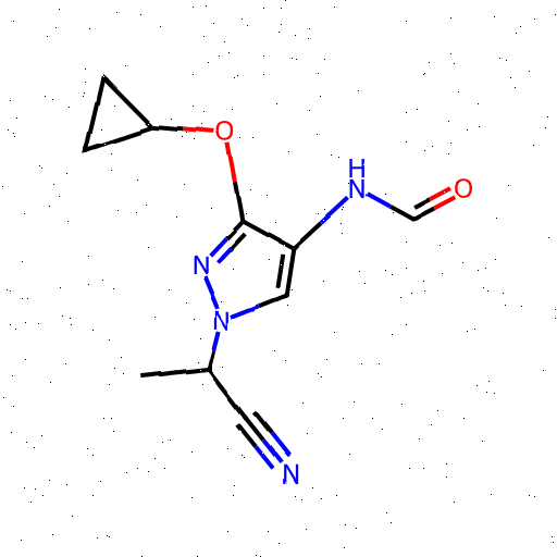 CC(C#N)n1cc(NC=O)c(OC2CC2)n1